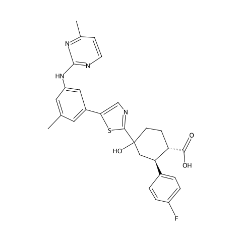 Cc1cc(Nc2nccc(C)n2)cc(-c2cnc(C3(O)CC[C@H](C(=O)O)[C@@H](c4ccc(F)cc4)C3)s2)c1